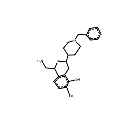 Cc1ccc2c(c1O)CC(C1CCN(Cc3ccncc3)CC1)OC2CN